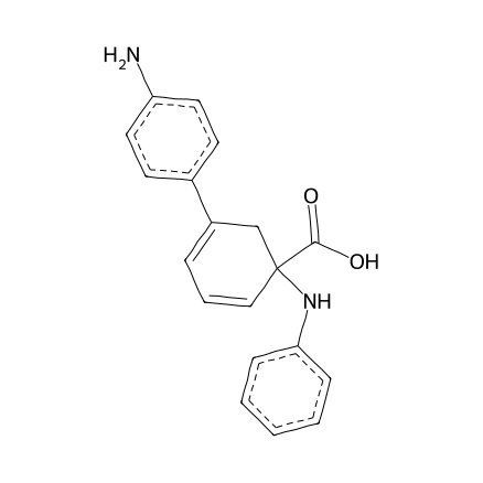 Nc1ccc(C2=CC=CC(Nc3ccccc3)(C(=O)O)C2)cc1